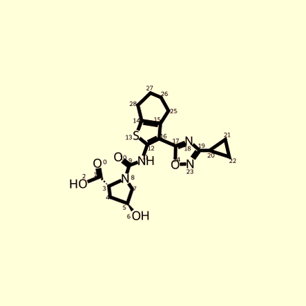 O=C(O)[C@H]1C[C@H](O)CN1C(=O)Nc1sc2c(c1-c1nc(C3CC3)no1)CCCC2